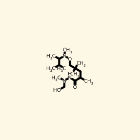 CC(CC(C)(C)CON(C)C(C)C(C)C)C(=O)NN(C)CO